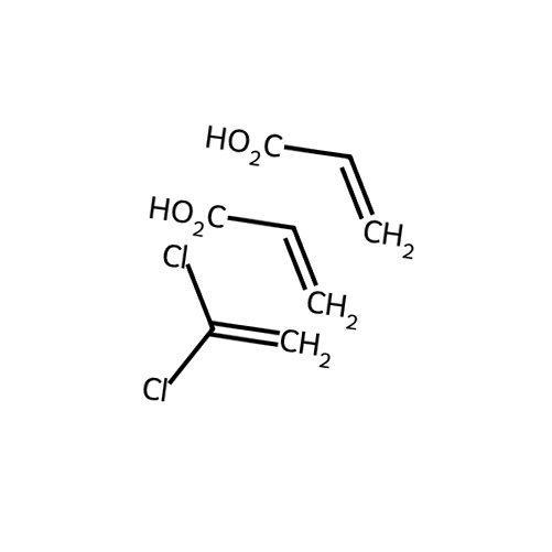 C=C(Cl)Cl.C=CC(=O)O.C=CC(=O)O